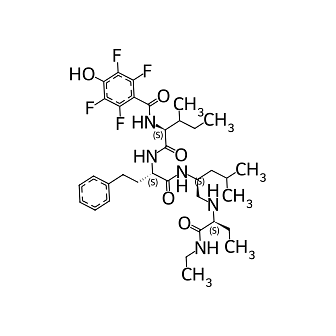 CCNC(=O)[C@H](CC)NC[C@H](CC(C)C)NC(=O)[C@H](CCc1ccccc1)NC(=O)[C@@H](NC(=O)c1c(F)c(F)c(O)c(F)c1F)C(C)CC